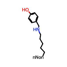 CCCCCCCCCCCCCCNCc1ccc(O)cc1